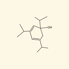 CC(C)C1=CC(O)(C(C)C)CC(C(C)C)=C1